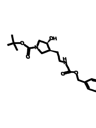 CC(C)(C)OC(=O)N1C[C@H](CCNC(=O)OCc2ccccc2)[C@@H](O)C1